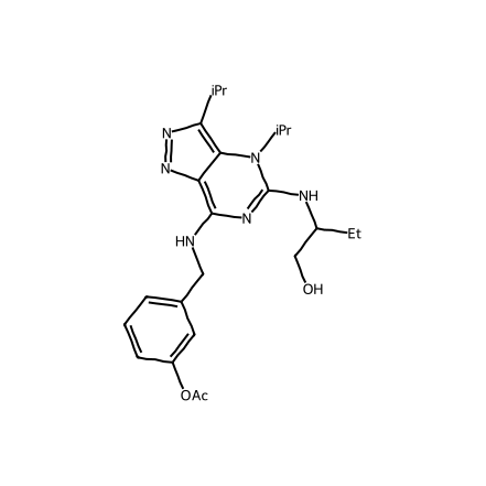 CCC(CO)Nc1nc(NCc2cccc(OC(C)=O)c2)c2nnc(C(C)C)c-2n1C(C)C